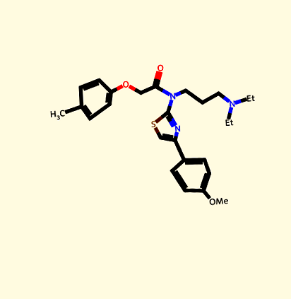 CCN(CC)CCCN(C(=O)COc1ccc(C)cc1)c1nc(-c2ccc(OC)cc2)cs1